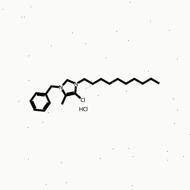 CCCCCCCCCCN1CN(Cc2ccccc2)C(C)=C1Cl.Cl